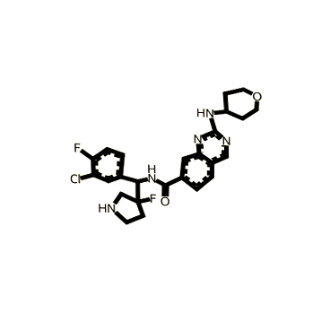 O=C(NC(c1ccc(F)c(Cl)c1)C1(F)CCNC1)c1ccc2cnc(NC3CCOCC3)nc2c1